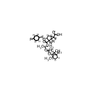 CC(OC(=O)O[C@H]1C(C)(C)[C@H]2CC[C@]1(C)C2)OC(=O)[C@@]1(N)[C@H]2C(C[C@H]1OCc1ccc(F)cc1)[C@]2(F)C(=O)O